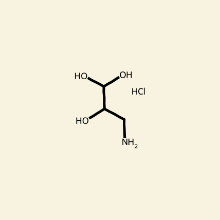 Cl.NCC(O)C(O)O